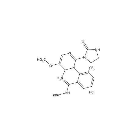 CCCCNC(=O)c1cccc(C(F)(F)F)c1N1C(N2CCNC2=O)=NC=C(OC(=O)O)C1N.Cl